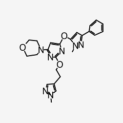 Cn1cc(CCOc2nc(Oc3cc(-c4ccccc4)nn3C)cc(N3CCOCC3)n2)cn1